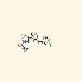 CC(C)=CCC/C(C)=C\CN(CC(C)C)C(=O)C1CC1